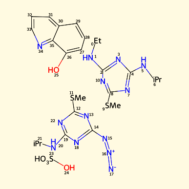 CCNc1nc(NC(C)C)nc(SC)n1.CSc1nc(N=[N+]=[N-])nc(NC(C)C)n1.O=S(=O)(O)O.Oc1cccc2cccnc12